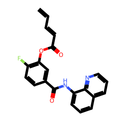 C=C/C=C/C(=O)Oc1cc(C(=O)Nc2cccc3cccnc23)ccc1F